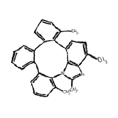 Cc1ccc2c3c(C)cccc3c3ccccc3c3cccc(C)c3n3c(C)nc1c23